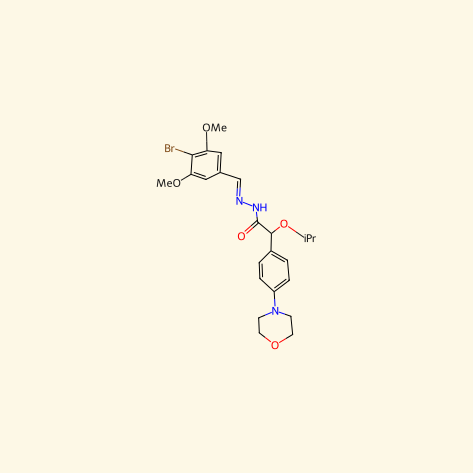 COc1cc(/C=N/NC(=O)C(OC(C)C)c2ccc(N3CCOCC3)cc2)cc(OC)c1Br